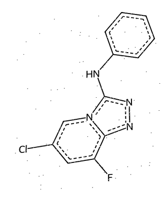 Fc1cc(Cl)cn2c(Nc3ccccc3)nnc12